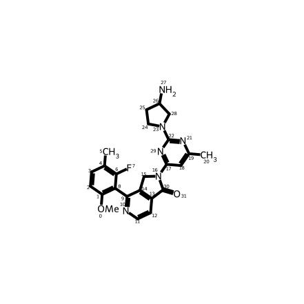 COc1ccc(C)c(F)c1-c1nccc2c1CN(c1cc(C)nc(N3CCC(N)C3)n1)C2=O